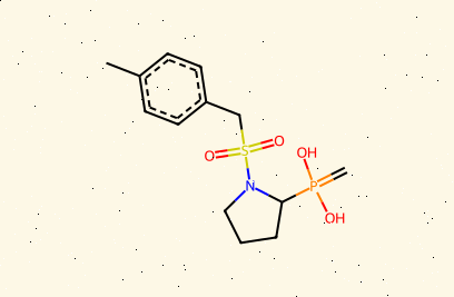 C=P(O)(O)C1CCCN1S(=O)(=O)Cc1ccc(C)cc1